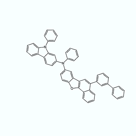 c1ccc(-c2cccc(-c3cc4c5cc(N(c6ccccc6)c6ccc7c8ccccc8n(-c8ccccc8)c7c6)ccc5oc4c4ccccc34)c2)cc1